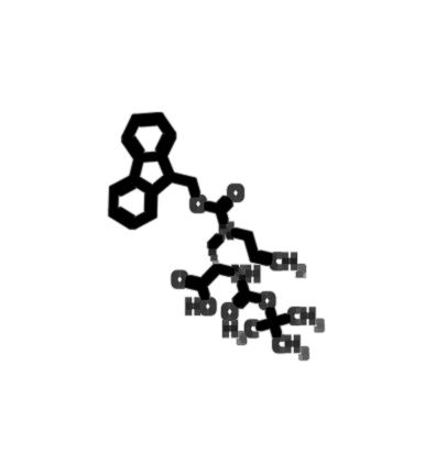 C=CCN(C[C@H](NC(=O)OC(C)(C)C)C(=O)O)C(=O)OCC1c2ccccc2-c2ccccc21